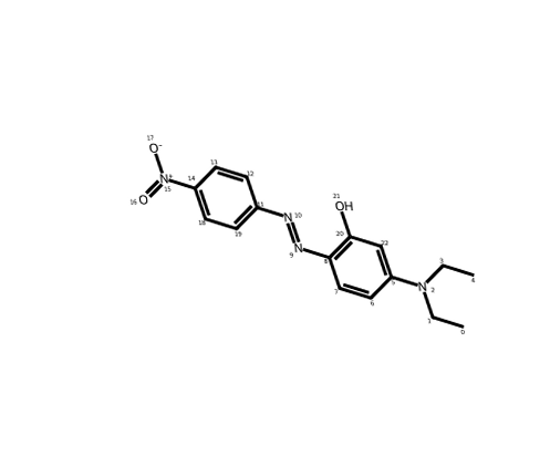 CCN(CC)c1ccc(N=Nc2ccc([N+](=O)[O-])cc2)c(O)c1